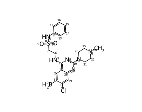 Bc1cc2c(NCCS(=O)(=O)Nc3ccccc3)nc(N3CCN(C)CC3)nc2cc1Cl